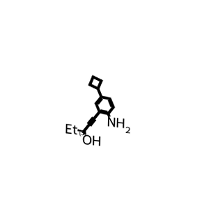 CC[C@H](O)C#Cc1cc(C2CCC2)ccc1N